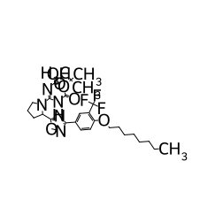 CCCCCCCCOc1ccc(-c2noc(C3CCCN3/C(=N/C(=O)O)NC(=O)OC(C)(C)C)n2)cc1C(F)(F)F